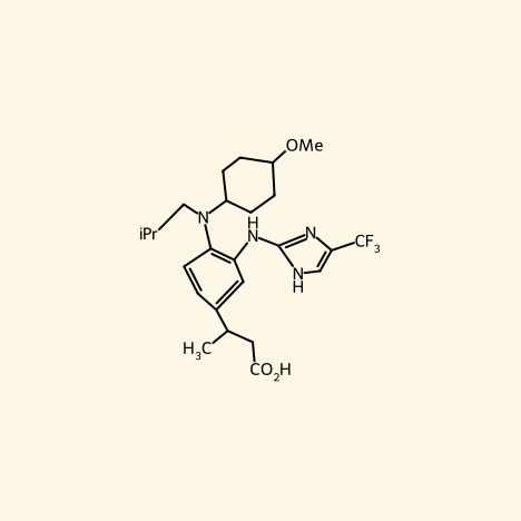 COC1CCC(N(CC(C)C)c2ccc(C(C)CC(=O)O)cc2Nc2nc(C(F)(F)F)c[nH]2)CC1